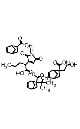 CC(C)(C)C1(C(=O)O)CC2C=CC1C2.CCCC(C(=O)O)C1=CC(=O)NC1=O.O=C(O)C1(CCO)CC2C=CC1C2.O=C(O)C1CC2C=CC1C2